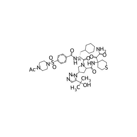 CC(=O)N1CCN(S(=O)(=O)c2ccc(C(=O)N[C@H](CC3CCCCC3)C(=O)N3CC(n4nncc4C(C)(C)O)CC3C(=O)NC3(C(=O)C(N)=O)CCSCC3)cc2)CC1